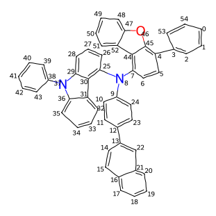 c1ccc(-c2ccc(N(c3ccc(-c4ccc5ccccc5c4)cc3)c3cccc4c3c3ccccc3n4-c3ccccc3)c3c2oc2ccccc23)cc1